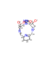 CN1CCN2CC(=O)ONOC(=O)CN(CC1)Cc1cccc(n1)C2